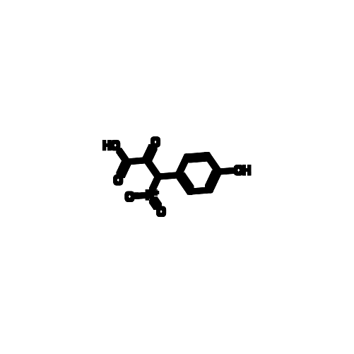 O=C(O)C(=O)C(c1ccc(O)cc1)[N+](=O)[O-]